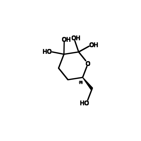 OC[C@H]1CCC(O)(O)C(O)(O)O1